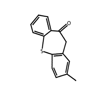 Cc1ccc2c(c1)CC(=O)c1ccccc1S2